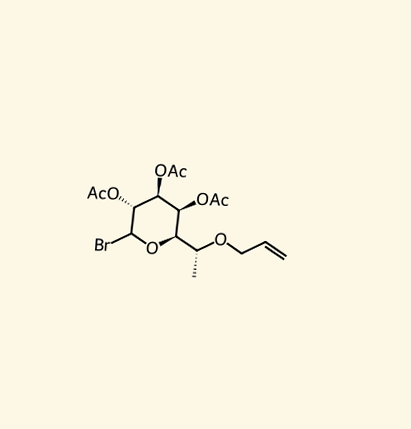 C=CCO[C@H](C)[C@H]1OC(Br)[C@H](OC(C)=O)[C@@H](OC(C)=O)[C@H]1OC(C)=O